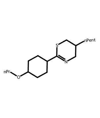 CCCCCC1CN=C(C2CCC(OCCC)CC2)SC1